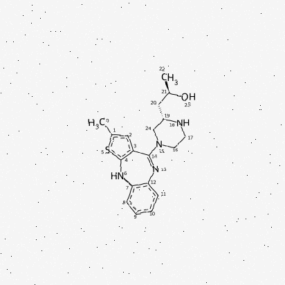 Cc1cc2c(s1)Nc1ccccc1N=C2N1CCN[C@@H](C[C@@H](C)O)C1